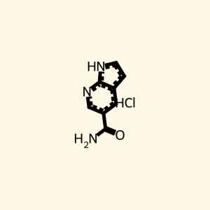 Cl.NC(=O)c1cnc2[nH]ccc2c1